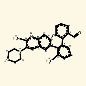 Cc1cccc(C=O)c1-c1cccc(C)c1-c1ccc2nc(N)c(N3CCOCC3)cc2c1